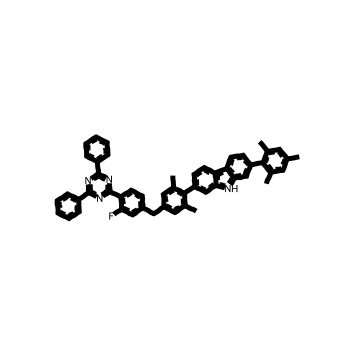 Cc1cc(C)c(-c2ccc3c(c2)[nH]c2cc(-c4c(C)cc(Cc5ccc(-c6nc(-c7ccccc7)nc(-c7ccccc7)n6)c(F)c5)cc4C)ccc23)c(C)c1